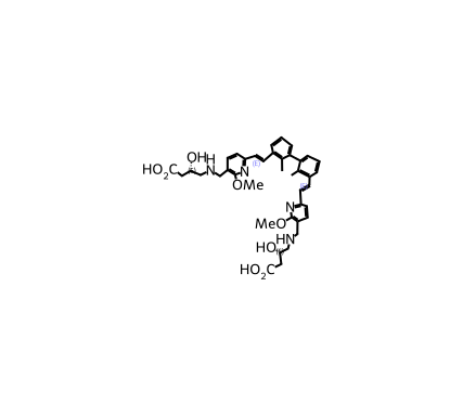 COc1nc(/C=C/c2cccc(-c3cccc(/C=C/c4ccc(CNC[C@@H](O)CC(=O)O)c(OC)n4)c3C)c2C)ccc1CNC[C@@H](O)CC(=O)O